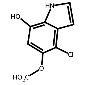 O=C(O)Oc1cc(O)c2[nH]ccc2c1Cl